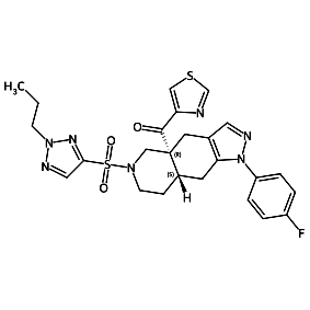 CCCn1ncc(S(=O)(=O)N2CC[C@H]3Cc4c(cnn4-c4ccc(F)cc4)C[C@]3(C(=O)c3cscn3)C2)n1